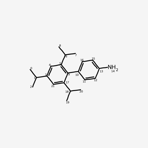 CC(C)c1cc(C(C)C)c(-c2ccc(N)cc2)c(C(C)C)c1